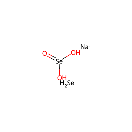 O=[Se](O)O.[Na].[SeH2]